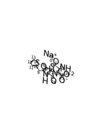 COC1S[C@H]2[C@H](NC(=O)Cc3cccs3)C(=O)N2C(C(=O)[O-])=C1N.[Na+]